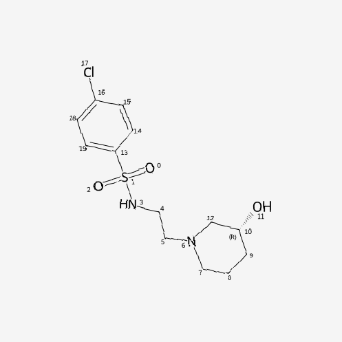 O=S(=O)(NCCN1CCC[C@@H](O)C1)c1ccc(Cl)cc1